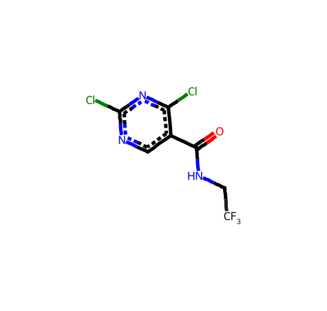 O=C(NCC(F)(F)F)c1cnc(Cl)nc1Cl